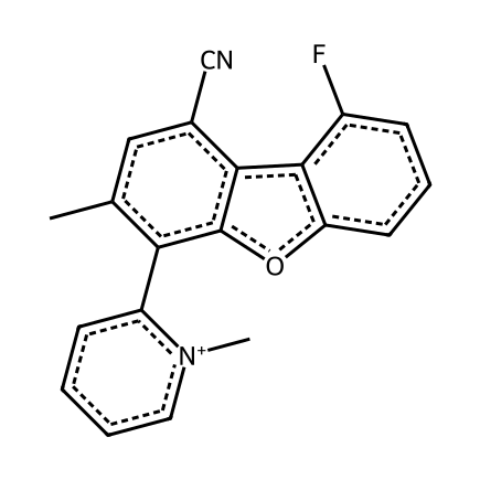 Cc1cc(C#N)c2c(oc3cccc(F)c32)c1-c1cccc[n+]1C